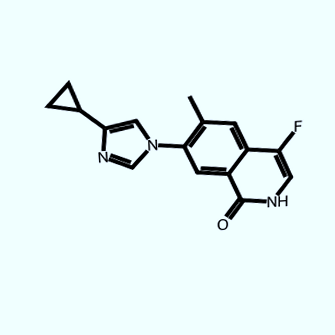 Cc1cc2c(F)c[nH]c(=O)c2cc1-n1cnc(C2CC2)c1